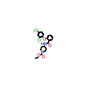 CCOC(=O)N1CCC(NC(=O)c2ccccc2Oc2ccc(Cl)cc2Cl)CC1